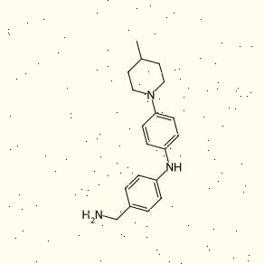 CC1CCN(c2ccc(Nc3ccc(CN)cc3)cc2)CC1